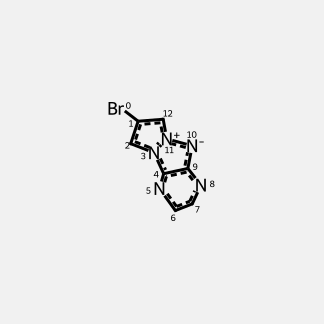 Brc1cn2c3nccnc3[n-][n+]2c1